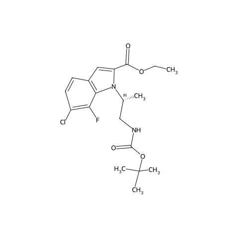 CCOC(=O)c1cc2ccc(Cl)c(F)c2n1[C@H](C)CNC(=O)OC(C)(C)C